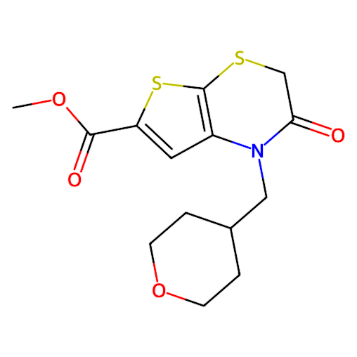 COC(=O)c1cc2c(s1)SCC(=O)N2CC1CCOCC1